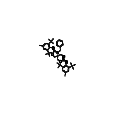 Cc1cc(C(C)(C)C)c(OP2OCC3(CO2)COP(Oc2c(C(C)(C)C)cc(C)cc2C(C)(C)C)N3Cc2ccccc2)c(C(C)(C)C)c1